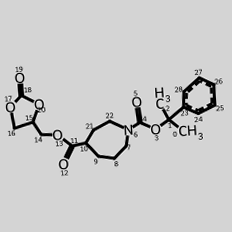 CC(C)(OC(=O)N1CCCC(C(=O)OCC2COC(=O)O2)CC1)c1ccccc1